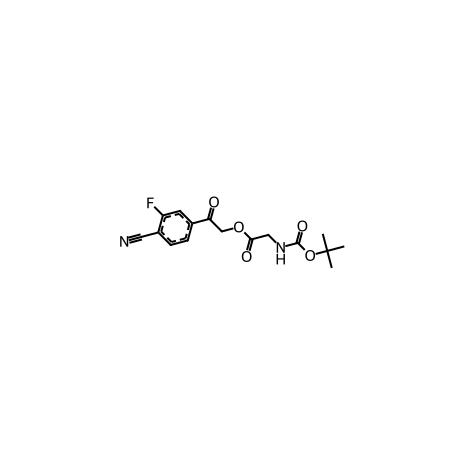 CC(C)(C)OC(=O)NCC(=O)OCC(=O)c1ccc(C#N)c(F)c1